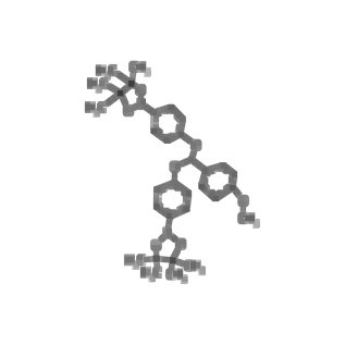 COc1ccc(C(Oc2ccc(B3OC(C)(C)C(C)(C)O3)cc2)Oc2ccc(B3OC(C)(C)C(C)(C)O3)cc2)cc1